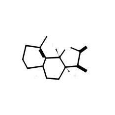 C=C1C(=O)O[C@H]2C3=C(C)CCC[C@]3(C)CC[C@@]12O